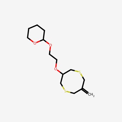 C=C1CSCC(OCCOC2CCCCO2)CSC1